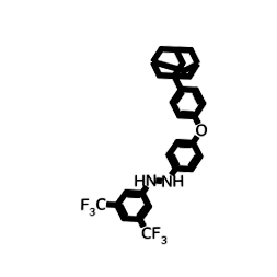 FC(F)(F)c1cc(NNc2ccc(Oc3ccc(C45CC6CC(CC(C6)C4)C5)cc3)cc2)cc(C(F)(F)F)c1